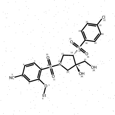 CCOc1cc(C#N)ccc1S(=O)(=O)N1C[C@H](S(=O)(=O)c2ccc(Cl)cc2)[C@](O)(CO)C1